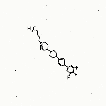 CCCCC[Si@H]1CC[C@H]([C@H]2CC[C@H](c3ccc(-c4cc(F)c(F)c(F)c4)cc3)CC2)CC1